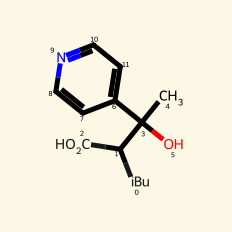 CCC(C)C(C(=O)O)C(C)(O)c1ccncc1